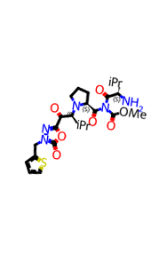 COC(=O)N(C(=O)[C@@H](N)C(C)C)C(=O)[C@@H]1CCCN1[C@H](C(=O)c1nn(Cc2cccs2)c(=O)o1)C(C)C